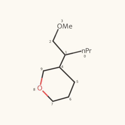 CCCC(COC)C1CCCOC1